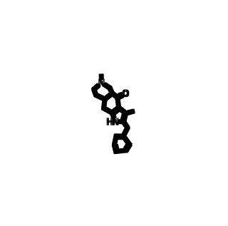 Cc1c(Cc2ccccc2)[nH]c2c1C(=O)C1CN(C)CCC1C2